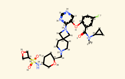 CC(C)N(C(=O)c1cc(F)ccc1Oc1cncnc1N1CC2(CCN(C[C@@H]3CC[C@@H](NS(=O)(=O)C4COC4)CO3)CC2)C1)C1CC1